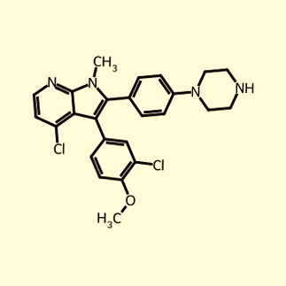 COc1ccc(-c2c(-c3ccc(N4CCNCC4)cc3)n(C)c3nccc(Cl)c23)cc1Cl